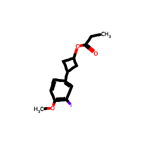 CCC(=O)OC1CC(c2ccc(OC)c(I)c2)C1